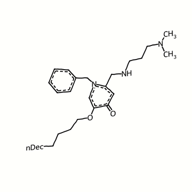 CCCCCCCCCCCCCCOc1cn(Cc2ccccc2)c(CNCCCN(C)C)cc1=O